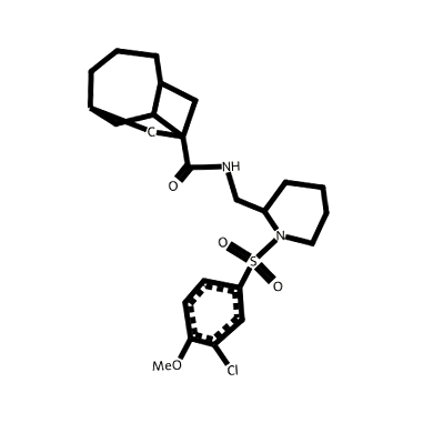 COc1ccc(S(=O)(=O)N2CCCCC2CNC(=O)C23CC4CCCC(C2)C3C4)cc1Cl